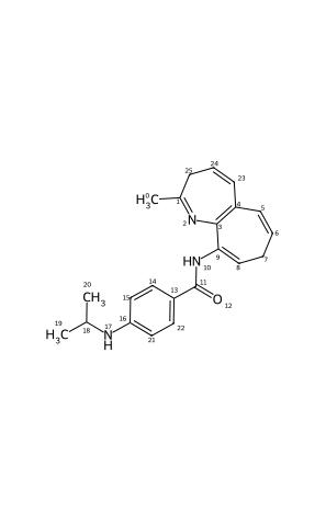 CC1=NC2=C(C=CCC=C2NC(=O)c2ccc(NC(C)C)cc2)C=CC1